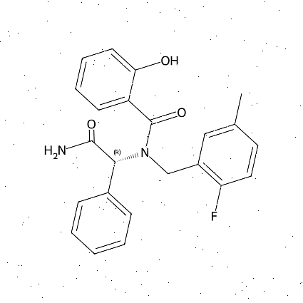 Cc1ccc(F)c(CN(C(=O)c2ccccc2O)[C@@H](C(N)=O)c2ccccc2)c1